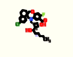 CCC/C=C/C(O)[C@@H]1CC[C@H]1CN1CC2(CCCc3cc(Cl)ccc32)COc2cc(F)c(C(=O)O)cc21